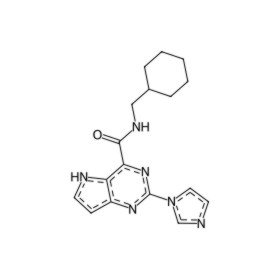 O=C(NCC1CCCCC1)c1nc(-n2ccnc2)nc2cc[nH]c12